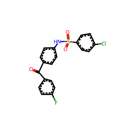 O=C(c1ccc(F)cc1)c1ccc(NS(=O)(=O)c2ccc(Cl)cc2)cc1